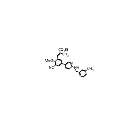 CCOC(=O)/C(C)=C/c1cc(-c2ccc(NCc3cccc(C)c3)nc2)cc(C#N)c1OC